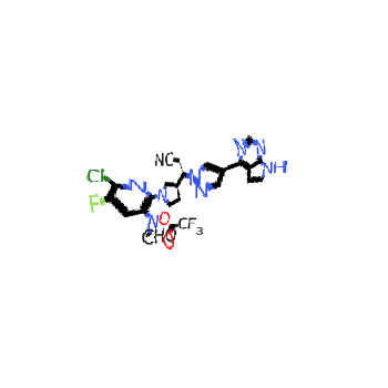 N#CC[C@@H]([C@H]1CCN(c2nc(Cl)c(F)cc2N(C=O)OC(=O)C(F)(F)F)C1)n1cc(-c2ncnc3[nH]ccc23)cn1